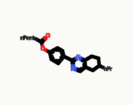 CCCCCC(=O)Oc1ccc(-c2ncc3c(n2)CCC(CCC)C3)cc1